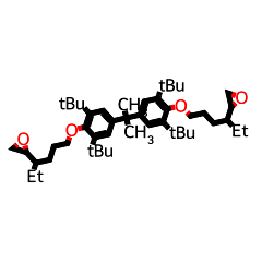 CCC(CCCOc1c(C(C)(C)C)cc(C(C)(C)c2cc(C(C)(C)C)c(OCCCC(CC)C3CO3)c(C(C)(C)C)c2)cc1C(C)(C)C)C1CO1